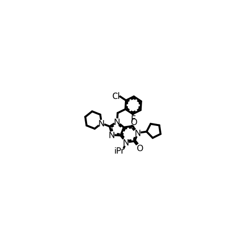 CC(C)n1c(=O)n(C2CCCC2)c(=O)c2c1nc(N1CCCCC1)n2Cc1c(F)cccc1Cl